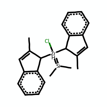 CC1=Cc2ccccc2[CH]1[ZrH]([Cl])([CH]1C(C)=Cc2ccccc21)=[Si](C)C